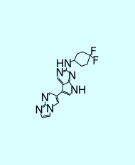 FC1(F)CCC(Nc2ncc3c(-c4cnc5nccn5c4)c[nH]c3n2)CC1